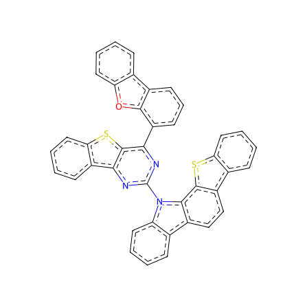 c1ccc2c(c1)oc1c(-c3nc(-n4c5ccccc5c5ccc6c7ccccc7sc6c54)nc4c3sc3ccccc34)cccc12